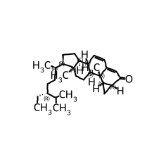 CC[C@H](CC[C@@H](C)[C@H]1CC[C@H]2[C@@H]3C=CC4=CC(=O)[C@@H]5C[C@@H]5[C@]4(C)[C@H]3CC[C@]12C)C(C)C